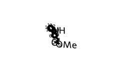 COC(=O)Cc1ccc2c(c1)[nH]c1ccccc12